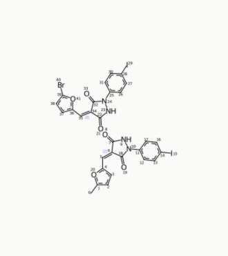 Cc1ccc(/C=C2/C(=O)NN(c3ccc(I)cc3)C2=O)o1.O=C1NN(c2ccc(I)cc2)C(=O)/C1=C\c1ccc(Br)o1